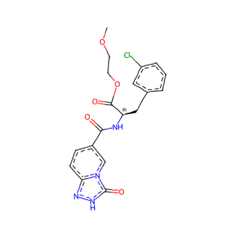 COCCOC(=O)[C@@H](Cc1cccc(Cl)c1)NC(=O)c1ccc2n[nH]c(=O)n2c1